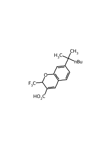 CCCCC(C)(C)c1ccc2c(c1)OC(C(F)(F)F)C(C(=O)O)=C2